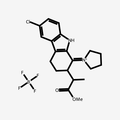 COC(=O)C(C)C1CCc2c([nH]c3ccc(Cl)cc23)C1=[N+]1CCCC1.F[B-](F)(F)F